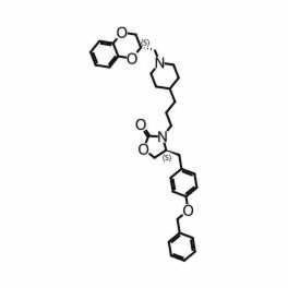 O=C1OC[C@H](Cc2ccc(OCc3ccccc3)cc2)N1CCCC1CCN(C[C@H]2COc3ccccc3O2)CC1